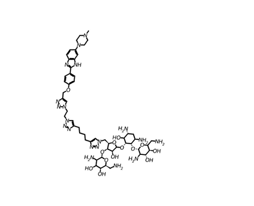 CN1CCN(c2ccc3nc(-c4ccc(OCc5cn(CCn6cc(CCCCc7cn(C[C@H]8OC(O[C@@H]9C(O)[C@H](N)CC(N)[C@@H]9O[C@@H]9OC(CN)[C@@H](O)[C@H](O)C9N)[C@@H](O)[C@H]8O[C@H]8O[C@@H](CN)[C@@H](O)C(O)C8N)nn7)nn6)nn5)cc4)[nH]c3c2)CC1